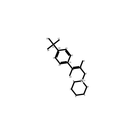 CC(CN1CCCCC1)=C(C)c1ccc(C(C)(C)C)cc1